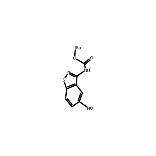 CC(C)(C)OC(=O)Nc1nsc2ccc(N=O)cc12